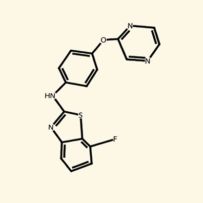 Fc1cccc2nc(Nc3ccc(Oc4cnccn4)cc3)sc12